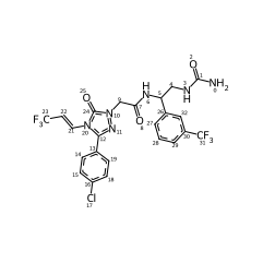 NC(=O)NCC(NC(=O)Cn1nc(-c2ccc(Cl)cc2)n(C=CC(F)(F)F)c1=O)c1cccc(C(F)(F)F)c1